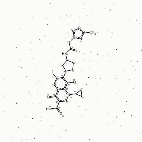 Cc1nnn(CC(=O)NC2CCN(c3c(F)cc4c(=O)c(C(=O)O)cn(C5CC5)c4c3Cl)C2)n1